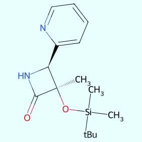 CC(C)(C)[Si](C)(C)O[C@@]1(C)C(=O)N[C@H]1c1ccccn1